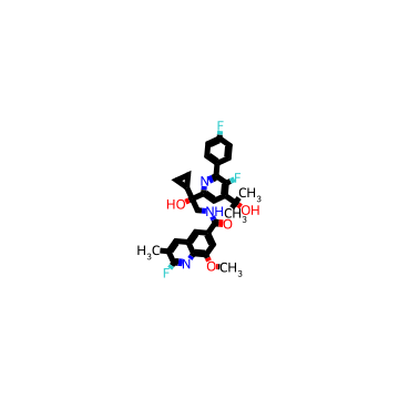 COc1cc(C(=O)NCC(O)(c2cc(C(C)(C)O)c(F)c(-c3ccc(F)cc3)n2)C2CC2)cc2cc(C)c(F)nc12